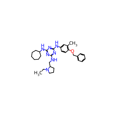 CCN1CCCC1CNc1nc(Nc2ccc(OCc3ccccc3)c(C)c2)nc(NC2CCCCCC2)n1